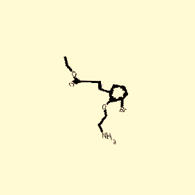 CCOC(=O)/C=C/c1cccc(Br)c1OCCN